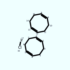 C1=CCCC=CCC1.C1=CCCC=CCC1.[Cl][Ir]